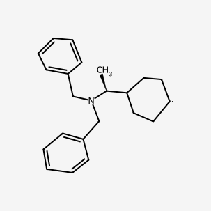 C[C@@H](C1CC[CH]CC1)N(Cc1ccccc1)Cc1ccccc1